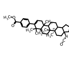 COC(=O)c1ccc(C2=CCC3(C)C(CCC4(C)C3CCC3C5CCCC5(N=C=O)CC[C@]34C)C2(C)C)cc1